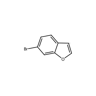 Brc1ccc2[c]coc2c1